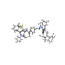 CC1(C)c2ccccc2-c2cc3c4ccccc4n(-c4ccc(-c5ccc6c(c5)c5sc7ccccc7c5n6-c5ccccc5)cc4)c3cc21